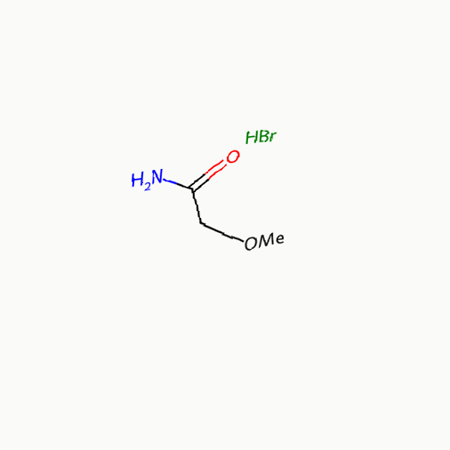 Br.COCC(N)=O